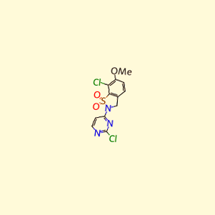 COc1ccc2c(c1Cl)S(=O)(=O)N(c1ccnc(Cl)n1)C2